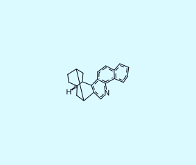 c1ccc2c(c1)ccc1c3c(cnc12)C1C[C@@H]2CCC1CC32